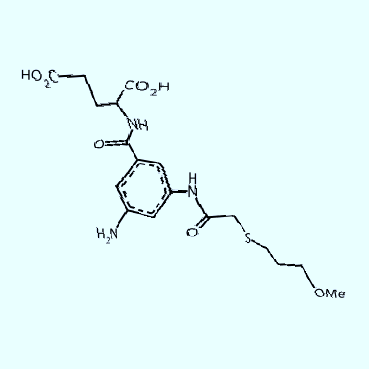 COCCCSCC(=O)Nc1cc(N)cc(C(=O)NC(CCC(=O)O)C(=O)O)c1